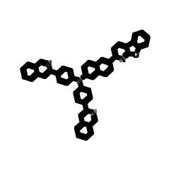 c1ccc2cc(-c3ccc(N(c4ccc(-c5cc6ccccc6cn5)cc4)c4ccc5cc(-c6ccc7c(n6)oc6ccccc67)ccc5c4)cc3)ncc2c1